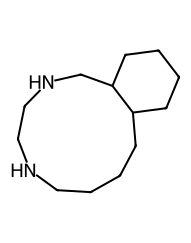 C1CCC2CCCCC2CNCCNC1